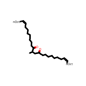 [CH2]C(CC(=O)CCCCCCC/C=C\CCCCCCCC)C(=O)CCCCCCC/C=C\CCCCCCCC